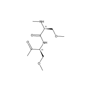 CN[C@@H](COC)C(=O)N[C@@H](COC)C(C)=O